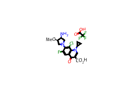 CO[C@@H]1CN(c2c(F)cc3c(=O)c(C(=O)O)cn(C4CC4)c3c2Cl)C[C@@H]1N.O=C(O)C(F)(F)F